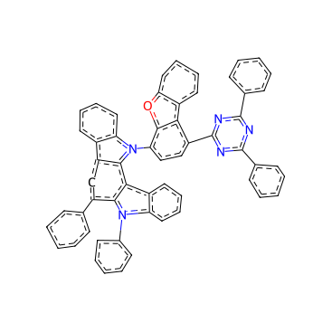 c1ccc(-c2nc(-c3ccccc3)nc(-c3ccc(-n4c5ccccc5c5cc(-c6ccccc6)c6c(c7ccccc7n6-c6ccccc6)c54)c4oc5ccccc5c34)n2)cc1